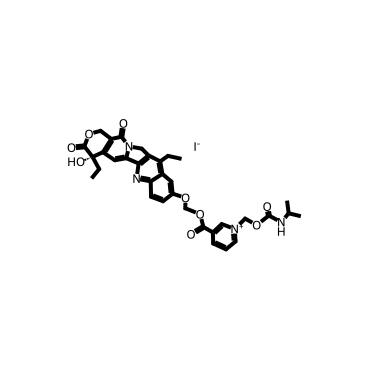 CCc1c2c(nc3ccc(OCOC(=O)c4ccc[n+](COC(=O)NC(C)C)c4)cc13)-c1cc3c(c(=O)n1C2)COC(=O)[C@]3(O)CC.[I-]